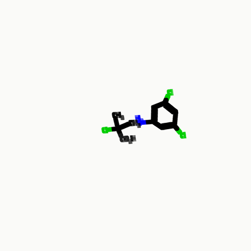 CC(C)(Cl)C(=O)O.Nc1cc(Cl)cc(Cl)c1